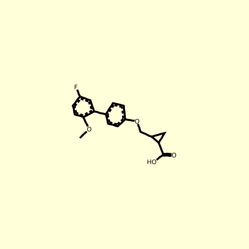 COc1ccc(F)cc1-c1ccc(OCC2CC2C(=O)O)cc1